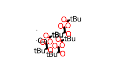 CC(C)(C)C(=O)OC(=O)C(=O)C(C)(C)C.CC(C)(C)C(=O)OC(=O)C(=O)C(C)(C)C.CC(C)(C)C(=O)OC(=O)C(=O)C(C)(C)C.[Ga]